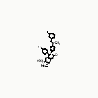 CC[C@@H](C)Oc1cc2c(cc1OC)CC(=O)N(c1ccc(N(C)Cc3cccc(F)c3)cc1)C2c1ccc(Cl)cc1